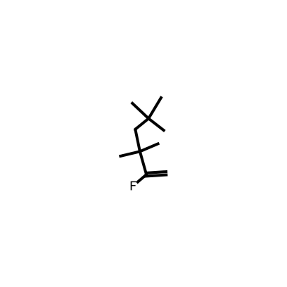 C=C(F)C(C)(C)CC(C)(C)C